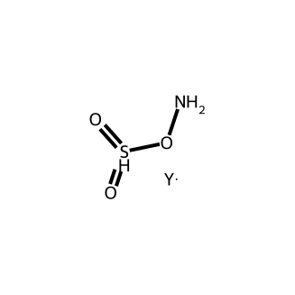 NO[SH](=O)=O.[Y]